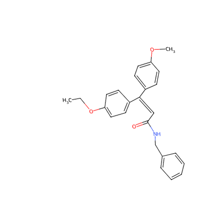 CCOc1ccc(/C(=C\C(=O)NCc2ccccc2)c2ccc(OC)cc2)cc1